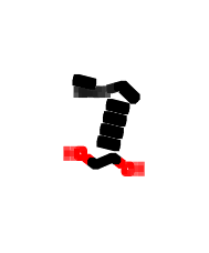 C=C.C=C.C=C.C=C.C=C.C=CCCCCCCCCC.OCCO